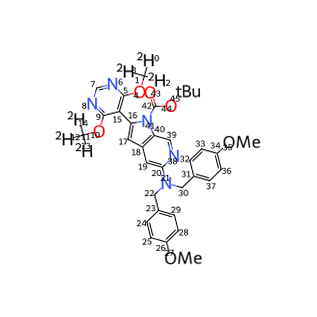 [2H]C([2H])([2H])Oc1ncnc(OC([2H])([2H])[2H])c1-c1cc2cc(N(Cc3ccc(OC)cc3)Cc3ccc(OC)cc3)ncc2n1C(=O)OC(C)(C)C